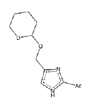 CC(=O)c1nc(COC2CCCCO2)c[nH]1